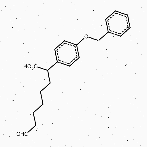 O=CCCCCCC(C(=O)O)c1ccc(OCc2ccccc2)cc1